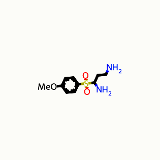 COc1ccc(S(=O)(=O)C(N)CCN)cc1